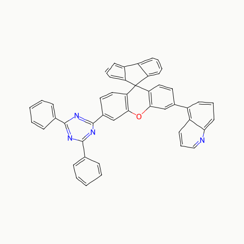 c1ccc(-c2nc(-c3ccccc3)nc(-c3ccc4c(c3)Oc3cc(-c5cccc6ncccc56)ccc3C43c4ccccc4-c4ccccc43)n2)cc1